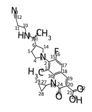 Cc1c(N2CCC([C@H](C)NCCC#N)C2)c(F)cc2cc(C(=O)O)c(=O)n(C3CC3)c12